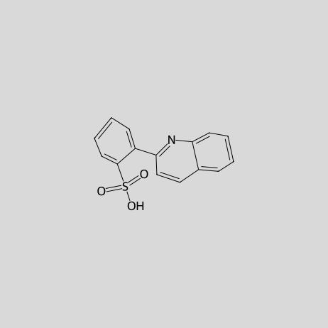 O=S(=O)(O)c1ccccc1-c1ccc2ccccc2n1